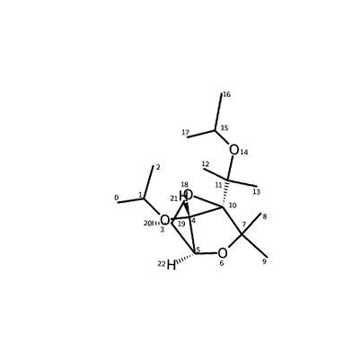 CC(C)O[C@H]1[C@H]2OC(C)(C)[C@]1(C(C)(C)OC(C)C)O[C@H]2C